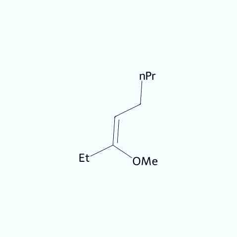 CCCCC=C(CC)OC